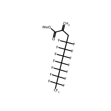 C=C(CC(F)(F)C(F)(F)C(F)(F)C(F)(F)C(F)(F)C(F)(F)C(F)(F)C(F)(F)F)C(=O)OC